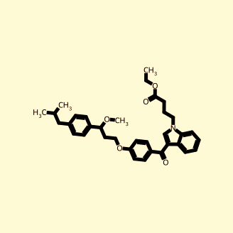 CCOC(=O)CCCn1cc(C(=O)c2ccc(OCCC(OC)c3ccc(CC(C)C)cc3)cc2)c2ccccc21